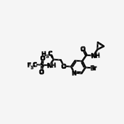 C[C@@H](COc1cc(C(=O)NC2CC2)c(Br)cn1)NS(=O)(=O)C(F)(F)F